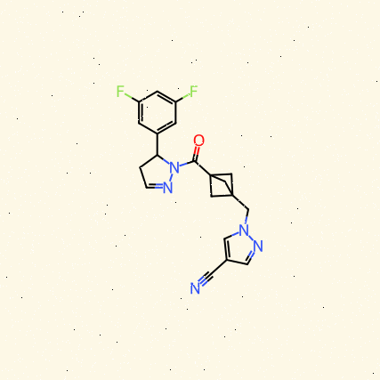 N#Cc1cnn(CC23CC(C(=O)N4N=CCC4c4cc(F)cc(F)c4)(C2)C3)c1